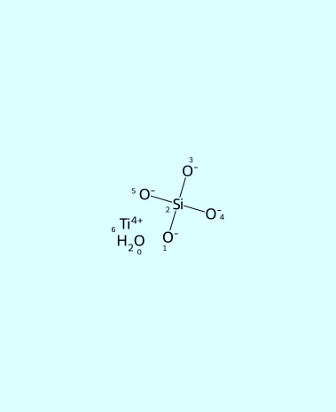 O.[O-][Si]([O-])([O-])[O-].[Ti+4]